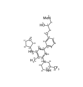 CNCC(O)COc1cccc(-c2nc(NC3CCOC3)c(C)c(N3CCNC(C(F)(F)F)C3)n2)c1